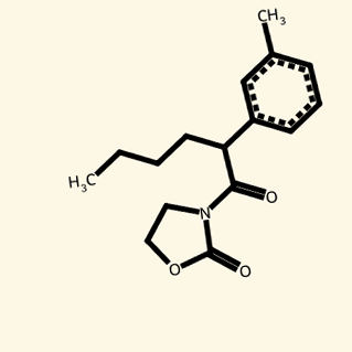 CCCCC(C(=O)N1CCOC1=O)c1cccc(C)c1